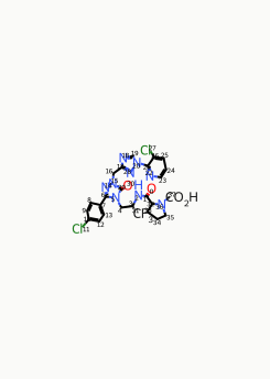 O=C(NC(Cn1c(-c2ccc(Cl)cc2)nn(Cc2ncn(-c3ncccc3Cl)n2)c1=O)C(F)(F)F)C1CCCN1C(=O)O